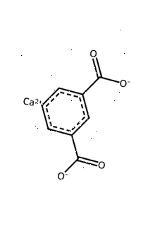 O=C([O-])c1cccc(C(=O)[O-])c1.[Ca+2]